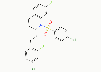 O=S(=O)(c1ccc(Cl)cc1)N1c2cc(F)ccc2CCC1CCc1ccc(Cl)cc1F